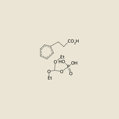 CCOC(OCC)OP(=O)(O)O.O=C(O)CCc1ccccc1